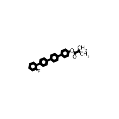 C=C(C)C(=O)Oc1ccc(-c2ccc(-c3ccc(-c4ccccc4F)cc3)cc2)cc1